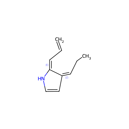 C=C/C=c1/[nH]cc/c1=C/CC